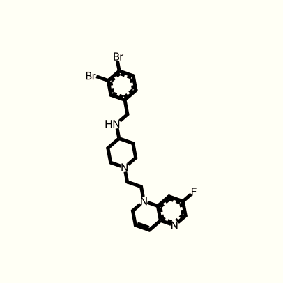 Fc1cnc2c(c1)N(CCN1CCC(NCc3ccc(Br)c(Br)c3)CC1)CC=C2